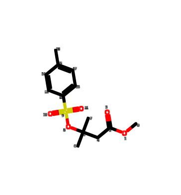 COC(=O)CC(C)(C)OS(=O)(=O)c1ccc(C)cc1